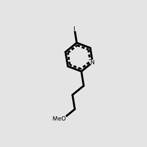 COCCCc1ccc(I)cn1